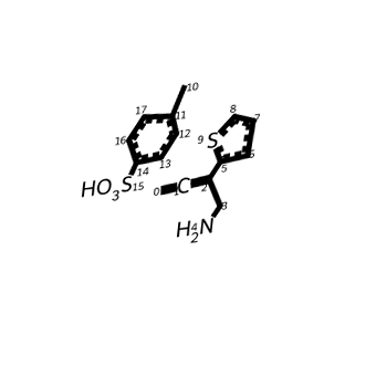 C=C=C(CN)c1cccs1.Cc1ccc(S(=O)(=O)O)cc1